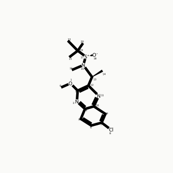 COc1nc2ccc(Cl)cc2nc1[C@H](C)N(C)[S@@+]([O-])C(C)(C)C